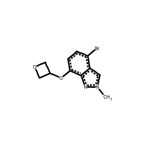 Cn1cc2c(Br)ccc(OC3COC3)c2n1